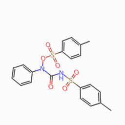 Cc1ccc(S(=O)(=O)NC(=O)N(OS(=O)(=O)c2ccc(C)cc2)c2ccccc2)cc1